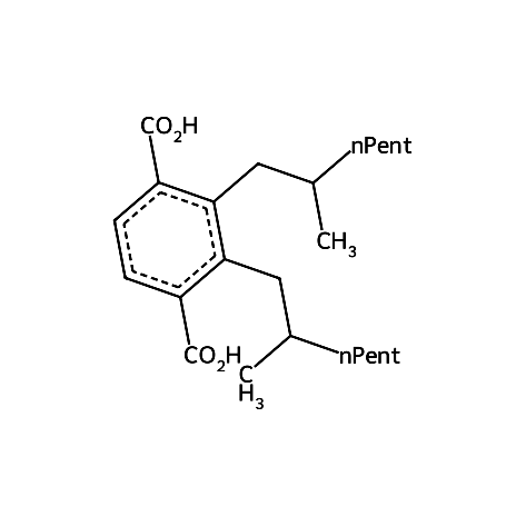 CCCCCC(C)Cc1c(C(=O)O)ccc(C(=O)O)c1CC(C)CCCCC